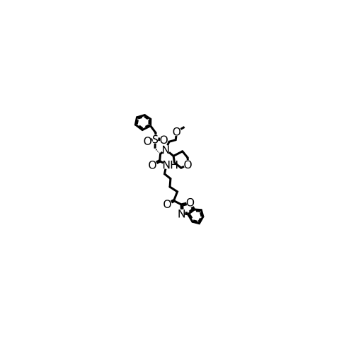 COCCN(C1CCOCC1)[C@@H](CS(=O)(=O)Cc1ccccc1)C(=O)NCCCCC(=O)c1nc2ccccc2o1